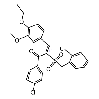 CCOc1ccc(/C=C(\C(=O)c2ccc(Cl)cc2)S(=O)(=O)Cc2ccccc2Cl)cc1OC